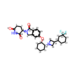 O=C1CCC(N2Cc3cc(O[C@@H]4CCCC[C@H]4N4CC(C5CCCC(F)(F)C5)C4)ccc3C2=O)C(=O)N1